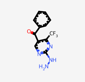 NNc1ncc(C(=O)c2ccccc2)c(C(F)(F)F)n1